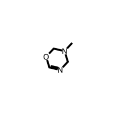 CN1CN=COC1